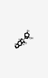 CCC1CC2C[C@](O)(C1)C[C@H]2N1C[C@H]2Cc3ncccc3C[C@H]2C1=O